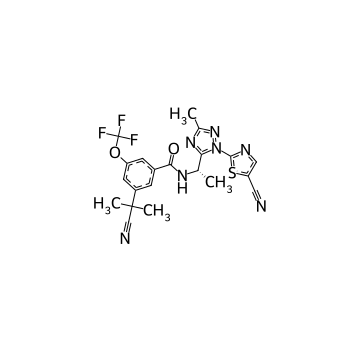 Cc1nc([C@H](C)NC(=O)c2cc(OC(F)(F)F)cc(C(C)(C)C#N)c2)n(-c2ncc(C#N)s2)n1